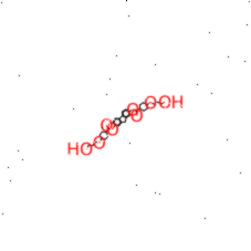 O=C(Oc1ccc2c(c1)Cc1cc(OC(=O)C3CCC(OCCCO)CC3)ccc1-2)C1CCC(OCCCO)CC1